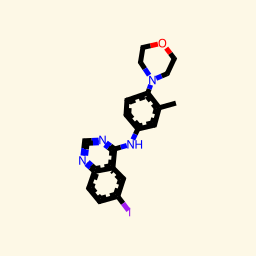 Cc1cc(Nc2ncnc3ccc(I)cc23)ccc1N1CCOCC1